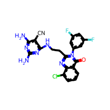 N#Cc1c(N)nc(N)nc1NCCc1nc2c(Cl)cccc2c(=O)n1-c1cc(F)cc(F)c1